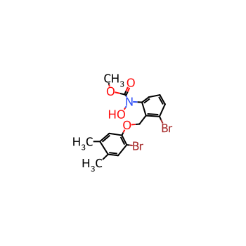 COC(=O)N(O)c1cccc(Br)c1COc1cc(C)c(C)cc1Br